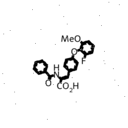 COc1cccc(F)c1Oc1ccc(/C=C(\NC(=O)c2ccccc2)C(=O)O)cc1